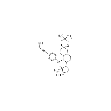 CC1(C)COC2(CCC3=C4C(CCC3C2)C2CC[C@H](O)C2(C)C[C@@H]4c2ccc(C#CC=N)cc2)OC1